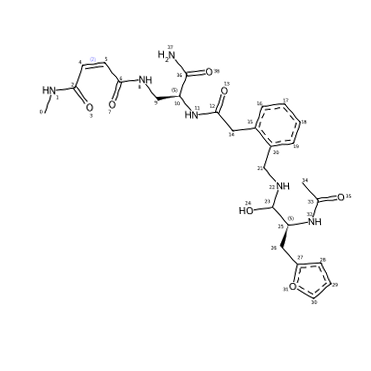 CNC(=O)/C=C\C(=O)NC[C@H](NC(=O)Cc1ccccc1CNC(O)[C@H](Cc1ccco1)NC(C)=O)C(N)=O